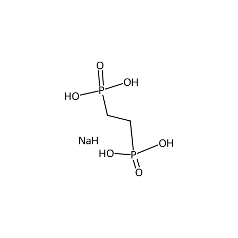 O=P(O)(O)CCP(=O)(O)O.[NaH]